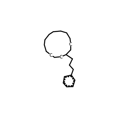 c1ccc(CCCC2CCCCCCCCCCCCC2)cc1